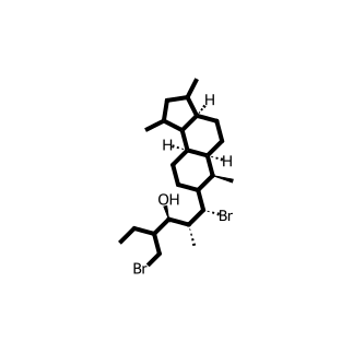 CCC(CBr)[C@@H](O)[C@@H](C)[C@@H](Br)C1CC[C@H]2C3C(C)CC(C)[C@H]3CC[C@H]2[C@H]1C